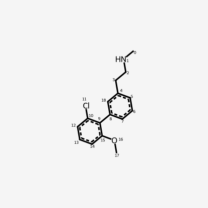 CNCCc1cccc(-c2c(Cl)cccc2OC)c1